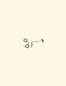 CN1C(=O)C(C(=O)OCCCOS(C)(=O)=O)N=C(c2ccccc2)c2cc(Cl)ccc21